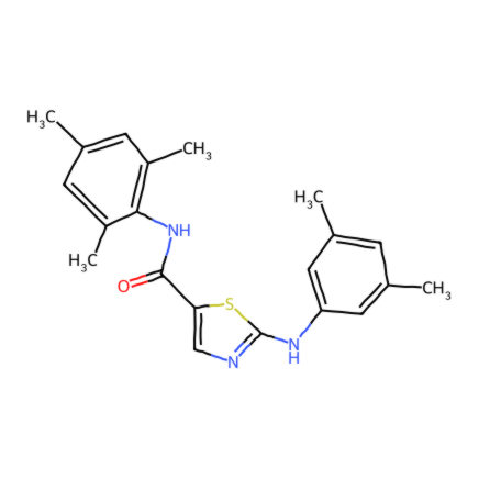 Cc1cc(C)cc(Nc2ncc(C(=O)Nc3c(C)cc(C)cc3C)s2)c1